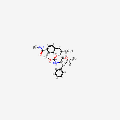 CC(C)NC(=O)c1ccc(C[C@H](C[C@H](O[Si](C)(C)C(C)(C)C)[C@H](Cc2ccccc2)NC(=O)OC(C)(C)C)C(=O)O)cc1